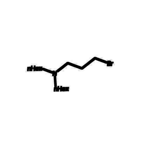 CCCCCCN(CCCBr)CCCCCC